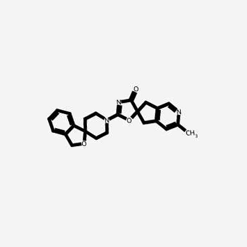 Cc1cc2c(cn1)CC1(C2)OC(N2CCC3(CC2)OCc2ccccc23)=NC1=O